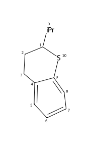 CC(C)C1CCc2ccccc2S1